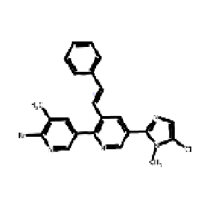 Cc1cc(-c2ncc(-c3ncc(Cl)n3C)cc2/C=C/c2ccccc2)cnc1Br